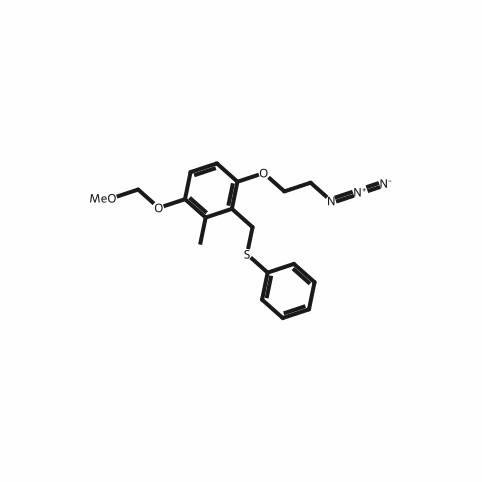 COCOc1ccc(OCCN=[N+]=[N-])c(CSc2ccccc2)c1C